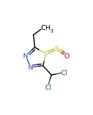 CCC1=NN=C(C(Cl)Cl)S1=S=O